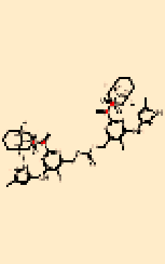 CCS(=O)(=O)N1[C@@H]2CCC[C@H]1C[C@H](N(C)c1nc(COC(=O)OCc3nc(N(C)[C@@H]4C[C@H]5CCC[C@@H](C4)N5S(=O)(=O)CC)nc(Nc4cc(C)[nH]n4)c3F)c(F)c(Nc3cc(C)[nH]n3)n1)C2